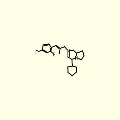 C/C(=C\c1ccc(F)cc1F)CNCC1CCCN1C(C)C1CCCCC1